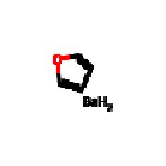 [BaH2].c1ccoc1